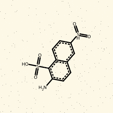 Nc1ccc2cc([SH](=O)=O)ccc2c1S(=O)(=O)O